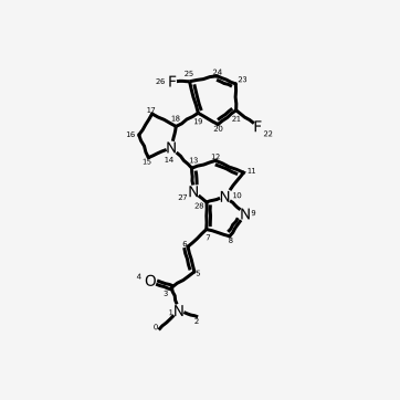 CN(C)C(=O)C=Cc1cnn2ccc(N3CCCC3c3cc(F)ccc3F)nc12